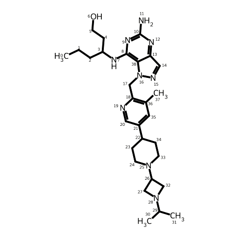 CCCC(CCO)Nc1nc(N)nc2cnn(Cc3ncc(C4CCN(C5CN(C(C)C)C5)CC4)cc3C)c12